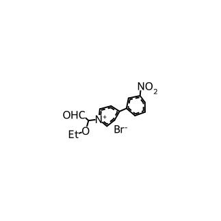 CCOC(C=O)[n+]1ccc(-c2cccc([N+](=O)[O-])c2)cc1.[Br-]